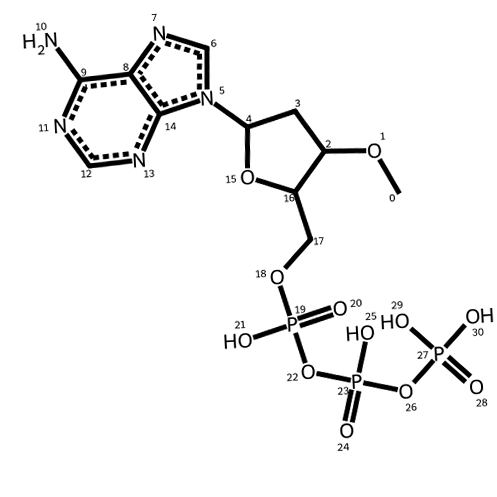 COC1CC(n2cnc3c(N)ncnc32)OC1COP(=O)(O)OP(=O)(O)OP(=O)(O)O